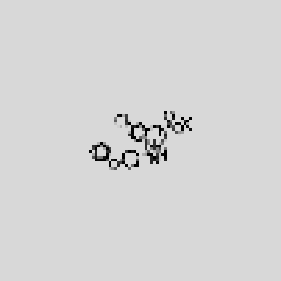 CC(C)(C)OC(=O)N1Cc2cc(Cl)ccc2-n2c(nnc2[C@H]2CC[C@H](Oc3cccnc3)CC2)C1